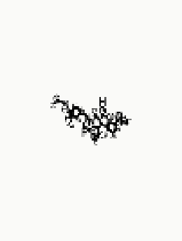 COC(=O)C1=C(C(F)(F)F)N(CCc2ccc(OCC3CO3)c(OC)c2)C(C)C(C(=O)O)=C1c1cccc([N+](=O)[O-])c1